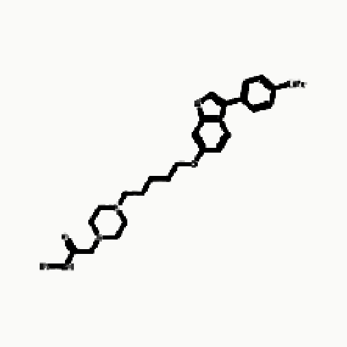 COc1ccc(-c2coc3cc(OCCCCCN4CCN(CC(=O)NC(C)C)CC4)ccc23)cc1